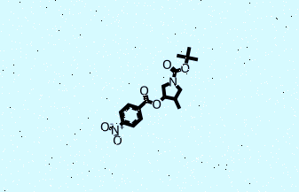 CC1CN(C(=O)OC(C)(C)C)CC1OC(=O)c1ccc([N+](=O)[O-])cc1